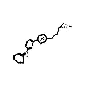 O=C(O)C=CCCC12CCC(c3cccc(Oc4ccccc4)c3)(CC1)OC2